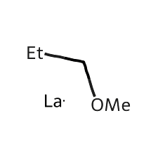 [CH2]CCOC.[La]